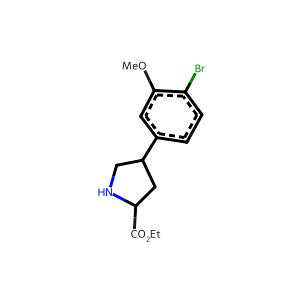 CCOC(=O)C1CC(c2ccc(Br)c(OC)c2)CN1